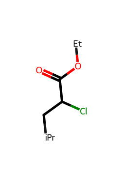 CCOC(=O)C(Cl)CC(C)C